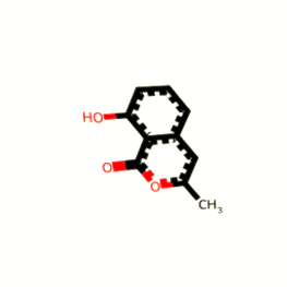 Cc1cc2cccc(O)c2c(=O)o1